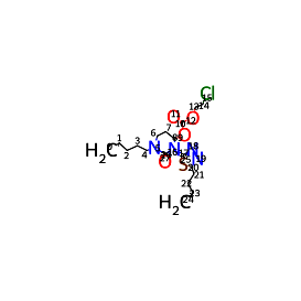 C=CCCCN1CCC(OC(=O)OCCCl)N(c2nnc(CCC=C)s2)C1=O